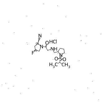 CC(C)S(=O)(=O)N1CCCC1CNCC(=O)N1C[C@@H](F)C[C@H]1C#N.Cl